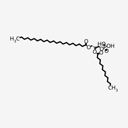 CCCCCCCCCCCCCCCCCCCCCC(=O)OC[C@H](COP(=O)(O)O)OC(=O)CCCCCCCCCCC